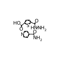 NC(=O)c1ccncc1.NNC(=O)c1ccc(C(=O)O)s1